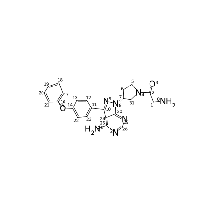 NCC(=O)N1CC[C@@H](n2nc(-c3ccc(Oc4ccccc4)cc3)c3c(N)ncnc32)C1